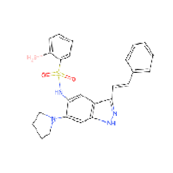 Bc1ccccc1S(=O)(=O)Nc1cc2c(/C=C/c3ccccc3)n[nH]c2cc1N1CCCC1